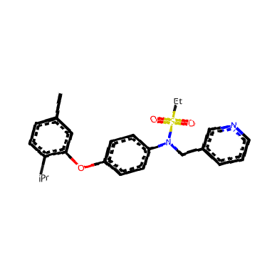 CCS(=O)(=O)N(Cc1cccnc1)c1ccc(Oc2cc(C)ccc2C(C)C)cc1